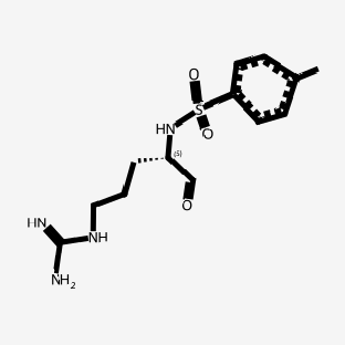 Cc1ccc(S(=O)(=O)N[C@H](C=O)CCCNC(=N)N)cc1